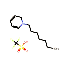 CCCCCCCCCCCCCCCCN1C=CC=CC1.O=S(=O)(O)C(F)(F)F